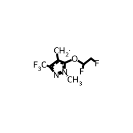 [CH2]c1c(C(F)(F)F)nn(C)c1OC(F)CF